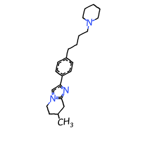 CC1CCn2cc(-c3ccc(CCCCN4CCCCC4)cc3)nc2C1